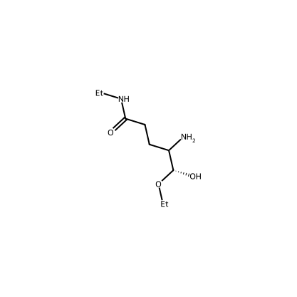 CCNC(=O)CCC(N)[C@H](O)OCC